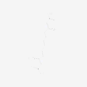 N/C(=C\C(=O)O)CCCCCC/C(N)=C/C(=O)O